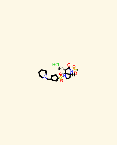 CC(C)[C@H]1C(=O)N(S(C)(=O)=O)[C@H]2CCN(S(=O)(=O)c3ccc(CN4C=CC=CC=C4)cc3)[C@H]12.Cl